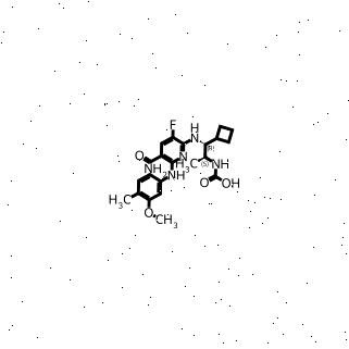 COc1cc(Nc2nc(N[C@H](C3CCC3)[C@H](C)NC(=O)O)c(F)cc2C(N)=O)ccc1C